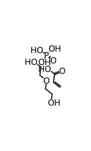 C=CC(=O)O.O=P(O)(O)O.OCCOCCO